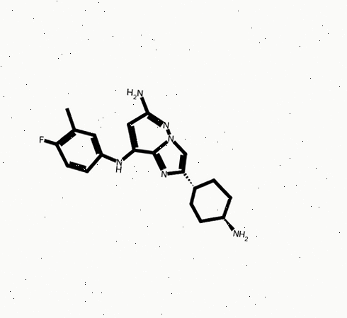 Cc1cc(Nc2cc(N)nn3cc([C@H]4CC[C@H](N)CC4)nc23)ccc1F